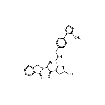 Cc1ncsc1-c1ccc(CNC[C@@H]2C[C@@H](O)CN2C(=O)C(C(C)C)N2Cc3ccccc3C2=O)cc1